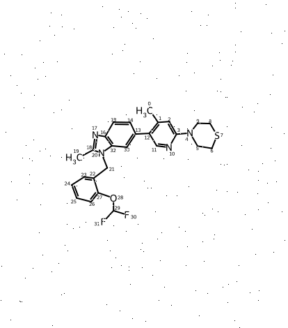 Cc1cc(N2CCSCC2)ncc1-c1ccc2nc(C)n(Cc3ccccc3OC(F)F)c2c1